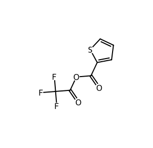 O=C(OC(=O)C(F)(F)F)c1cccs1